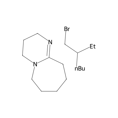 C1CCC2=NCCCN2CC1.CCCCC(CC)CBr